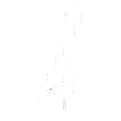 CN1C(=O)CC[C@@H]2c3ccc(SCc4ccccc4)cc3CC[C@H]21